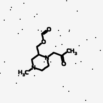 CC(=O)CN1CCN(C)CC1COC=O